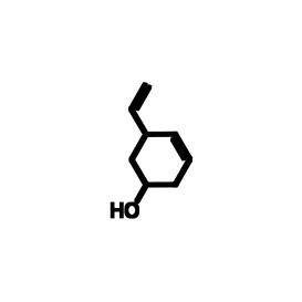 C=CC1C=CCC(O)C1